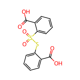 O=C(O)c1ccccc1SS(=O)(=O)c1ccccc1C(=O)O